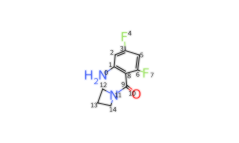 Nc1cc(F)cc(F)c1C(=O)N1CCC1